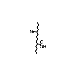 CCCCC(C#N)CCCCC(CCCC)C(=O)O